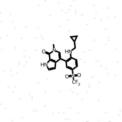 Cn1cc(-c2cc(S(=O)(=O)C(F)(F)F)ccc2NCC2CC2)c2cc[nH]c2c1=O